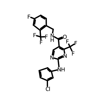 O=C(NCc1ccc(F)cc1C(F)(F)F)c1cnc(Nc2cccc(Cl)c2)nc1C(F)(F)F